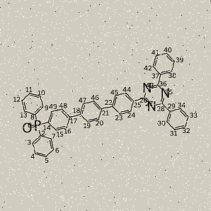 O=P(c1ccccc1)(c1ccccc1)c1ccc(-c2ccc(-c3ccc(-c4nc(-c5ccccc5)nc(-c5ccccc5)n4)cc3)cc2)cc1